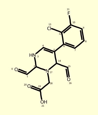 O=CC1NC=C(c2cccc(F)c2Cl)C(C=O)N1CC(=O)O